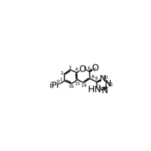 CC(C)c1ccc2oc(=O)c(-c3nnn[nH]3)cc2c1